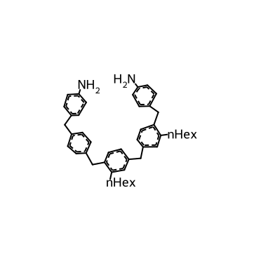 CCCCCCc1cc(Cc2ccc(Cc3ccc(Cc4ccc(N)cc4)cc3)c(CCCCCC)c2)ccc1Cc1ccc(N)cc1